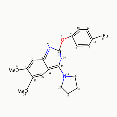 COc1cc2nc(Oc3ccc(C(C)(C)C)cc3)nc(N3CCCC3)c2cc1OC